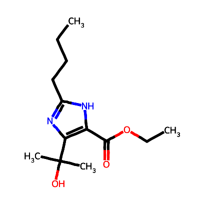 CCCCc1nc(C(C)(C)O)c(C(=O)OCC)[nH]1